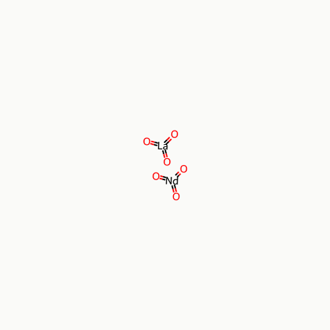 [O]=[La](=[O])=[O].[O]=[Nd](=[O])=[O]